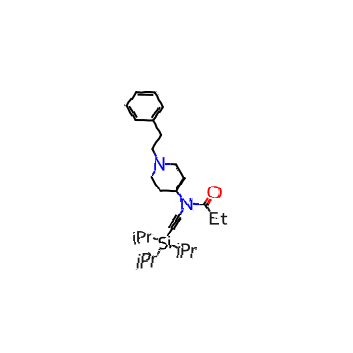 CCC(=O)N(C#C[Si](C(C)C)(C(C)C)C(C)C)C1CCN(CCc2ccccc2)CC1